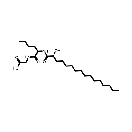 CCCCCCCCCCCCCC[C@H](O)C(=O)NC(CCCC)C(=O)NCC(=O)O